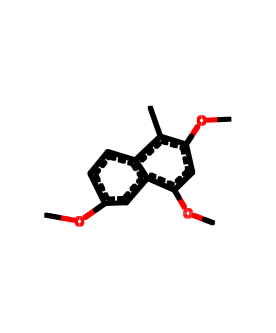 COc1ccc2c(C)c(OC)cc(OC)c2c1